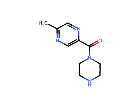 Cc1cnc(C(=O)N2CCNCC2)cn1